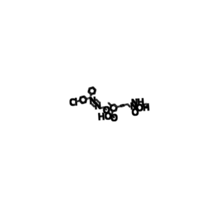 Cc1cc(C#CCCN(N)C(=O)O)cc(C(=O)O)c1OCCN1CCN([C@H](c2ccccc2)c2ccc(Cl)cc2)CC1